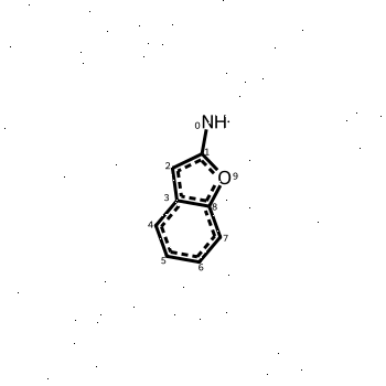 [NH]c1cc2ccccc2o1